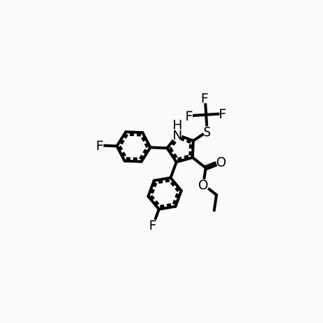 CCOC(=O)c1c(SC(F)(F)F)[nH]c(-c2ccc(F)cc2)c1-c1ccc(F)cc1